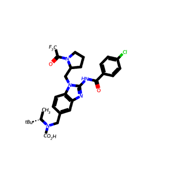 C[C@H](N(Cc1ccc2c(c1)nc(NC(=O)c1ccc(Cl)cc1)n2CC1CCCN1C(=O)C(F)(F)F)C(=O)O)C(C)(C)C